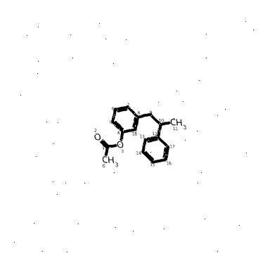 CC(=O)Oc1cccc(CC(C)c2ccccc2)c1